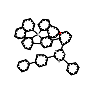 c1ccc(-c2ccc(-c3nc(-c4ccccc4)nc(-c4ccccc4-c4ccc5c(c4)[Si](c4cccc6ccccc46)(c4cccc6ccccc46)c4ccccc4-5)n3)cc2)cc1